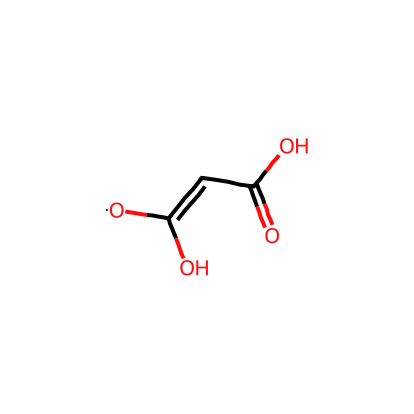 [O]C(O)=CC(=O)O